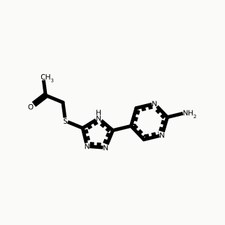 CC(=O)CSc1nnc(-c2cnc(N)nc2)[nH]1